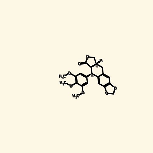 COc1cc([C@@H]2c3cc4c(cc3C[C@H]3COC(=O)C32)OCO4)cc(OC)c1OC